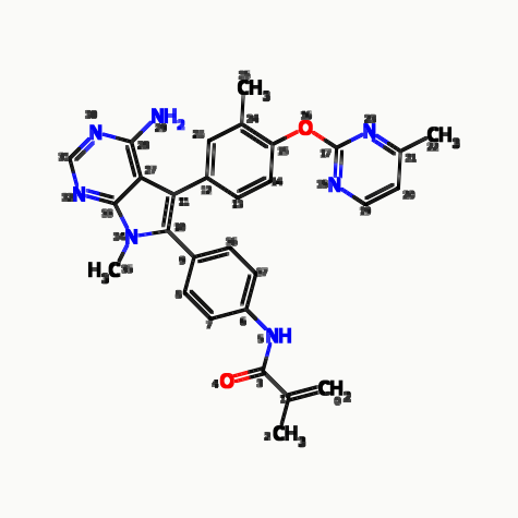 C=C(C)C(=O)Nc1ccc(-c2c(-c3ccc(Oc4nccc(C)n4)c(C)c3)c3c(N)ncnc3n2C)cc1